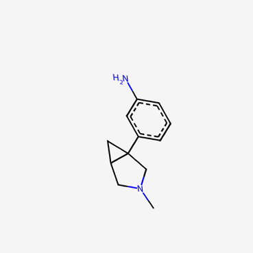 CN1CC2CC2(c2cccc(N)c2)C1